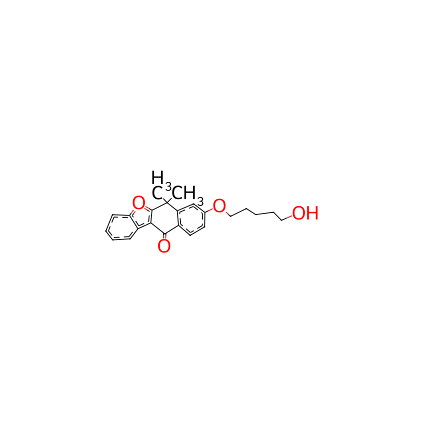 CC1(C)c2cc(OCCCCCO)ccc2C(=O)c2c1oc1ccccc21